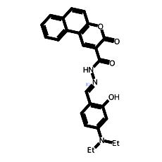 CCN(CC)c1ccc(/C=N/NC(=O)c2cc3c(ccc4ccccc43)oc2=O)c(O)c1